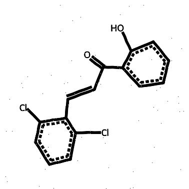 O=C(/C=C/c1c(Cl)cccc1Cl)c1ccccc1O